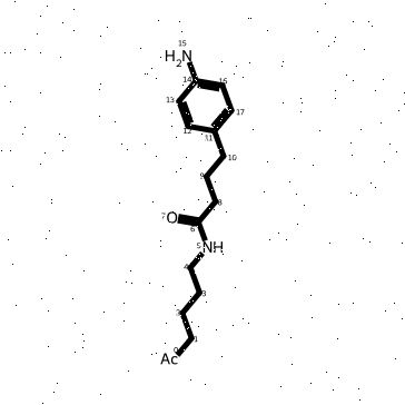 CC(=O)CCCCNC(=O)CCCc1ccc(N)cc1